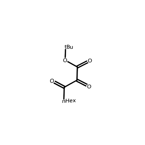 CCCCCCC(=O)C(=O)C(=O)OC(C)(C)C